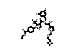 CCOC(=O)C1CCC(n2ncc(C(=O)N(Cc3cc(F)cc(F)c3)CC(O)c3ccn(COCC[Si](C)(C)C)n3)c2C(F)(F)F)CC1